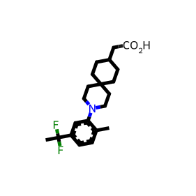 Cc1ccc(C(C)(F)F)cc1N1CCC2(CCC(CC(=O)O)CC2)CC1